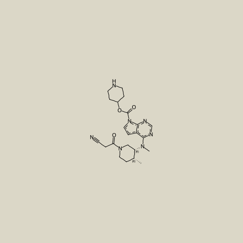 C[C@@H]1CCN(C(=O)CC#N)C[C@@H]1N(C)c1ncnc2c1ccn2C(=O)OC1CCNCC1